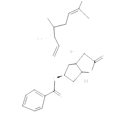 CC(C)=CCC(C)[C@@H](O)C=C[C@@H]1[C@H]2CC(=O)O[C@H]2C[C@H]1OC(=O)c1ccccc1